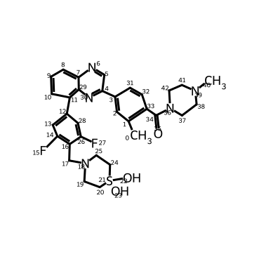 Cc1cc(-c2cnc3cccc(-c4cc(F)c(CN5CCS(O)(O)CC5)c(F)c4)c3n2)ccc1C(=O)N1CCN(C)CC1